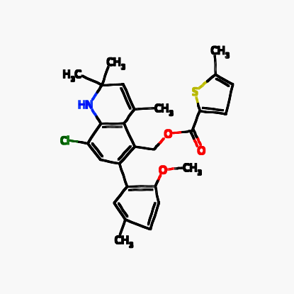 COc1ccc(C)cc1-c1cc(Cl)c2c(c1COC(=O)c1ccc(C)s1)C(C)=CC(C)(C)N2